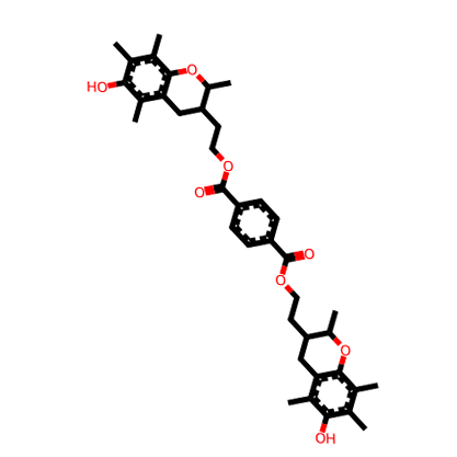 Cc1c(C)c2c(c(C)c1O)CC(CCOC(=O)c1ccc(C(=O)OCCC3Cc4c(C)c(O)c(C)c(C)c4OC3C)cc1)C(C)O2